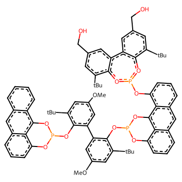 COc1cc(-c2cc(OC)cc(C(C)(C)C)c2OP2Oc3cccc4cc5cccc(Op6oc7c(C(C)(C)C)cc(CO)cc7c7cc(CO)cc(C(C)(C)C)c7o6)c5c(c34)O2)c(OP2Oc3cccc4cc5ccccc5c(c34)O2)c(C(C)(C)C)c1